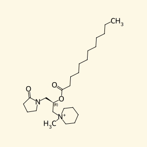 CCCCCCCCCCCC(=O)O[C@H](CN1CCCC1=O)C[N+]1(C)CCCCC1